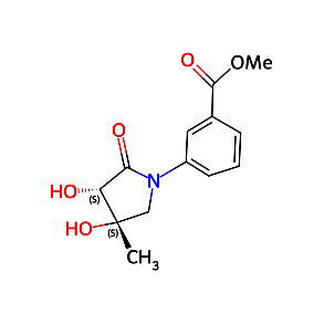 COC(=O)c1cccc(N2C[C@](C)(O)[C@H](O)C2=O)c1